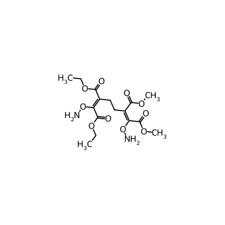 CCOC(=O)C(CCC(C(=O)OC)=C(ON)C(=O)OC)=C(ON)C(=O)OCC